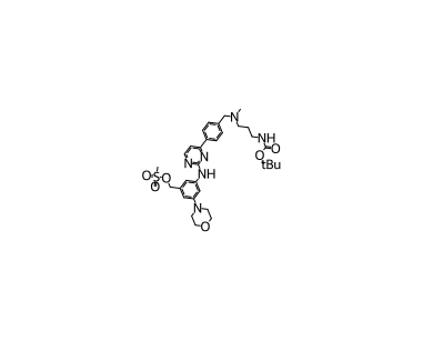 CN(CCCNC(=O)OC(C)(C)C)Cc1ccc(-c2ccnc(Nc3cc(COS(C)(=O)=O)cc(N4CCOCC4)c3)n2)cc1